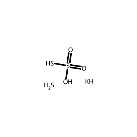 O=S(=O)(O)S.S.[KH]